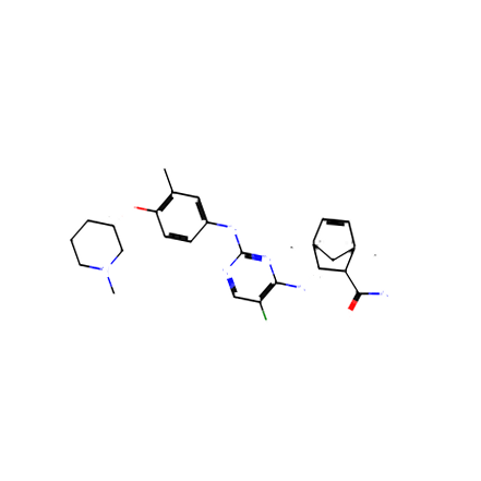 Cc1cc(Nc2ncc(F)c(N[C@H]3C(C(N)=O)[C@@H]4C=C[C@H]3C4)n2)ccc1O[C@H]1CCCN(C)C1